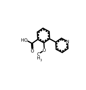 COc1c(C(=O)O)cccc1-c1cccnc1